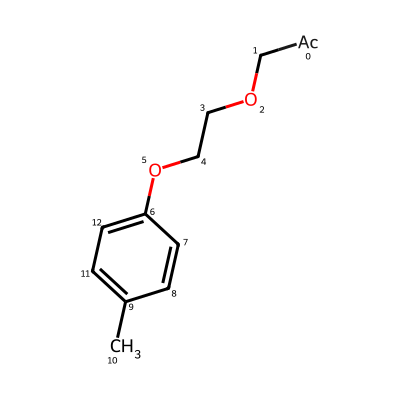 CC(=O)COCCOc1ccc(C)cc1